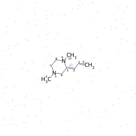 C=C/C=C1/CN(C)CCN1C